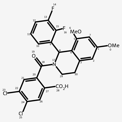 COc1cc2c(c(OC)c1)C(c1cccc(F)c1F)N(C(=O)c1cc(Cl)c(Cl)cc1C(=O)O)CC2